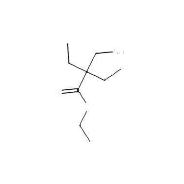 CCOC(=O)C(CC)(CC)C[NH]